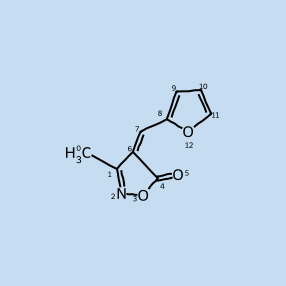 CC1=NOC(=O)/C1=C\c1ccco1